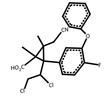 CC1(CC#N)C(C)(C(=O)O)C1(c1ccc(F)c(Oc2ccccc2)c1)C(Cl)CCl